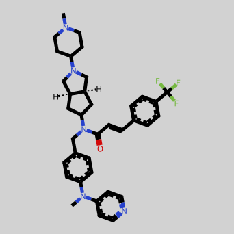 CN1CCC(N2C[C@H]3CC(N(Cc4ccc(N(C)c5ccncc5)cc4)C(=O)/C=C/c4ccc(C(F)(F)F)cc4)C[C@H]3C2)CC1